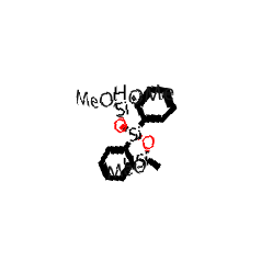 CO[SiH](C)O[Si](O[SiH](OC)OC)(c1ccccc1)c1ccccc1